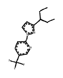 CCC(CC)c1[c]cn(-c2ccc(C(F)(F)F)cn2)n1